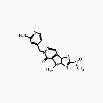 CN1c2c(cnn(Cc3ccnc(N)c3)c2=O)C2SC([S+](C)[O-])=NC21